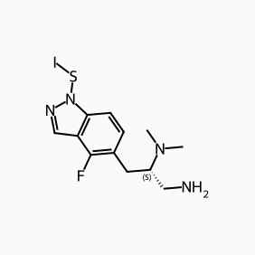 CN(C)[C@H](CN)Cc1ccc2c(cnn2SI)c1F